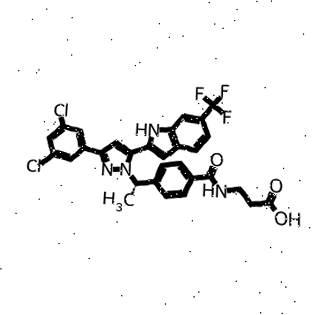 C[C@@H](c1ccc(C(=O)NCCC(=O)O)cc1)n1nc(-c2cc(Cl)cc(Cl)c2)cc1-c1cc2ccc(C(F)(F)F)cc2[nH]1